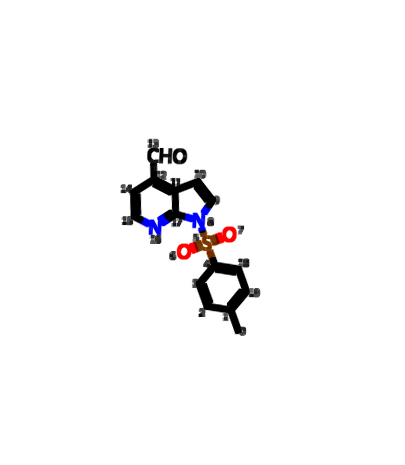 Cc1ccc(S(=O)(=O)n2ccc3c(C=O)ccnc32)cc1